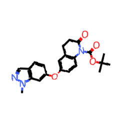 Cn1ncc2ccc(Oc3ccc4c(c3)CCC(=O)N4C(=O)OC(C)(C)C)cc21